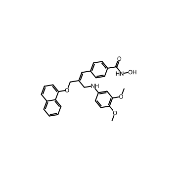 COc1ccc(NCC(=Cc2ccc(C(=O)NO)cc2)COc2cccc3ccccc23)cc1OC